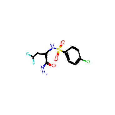 NC(=O)C(CC(F)F)NS(=O)(=O)c1ccc(Cl)cc1